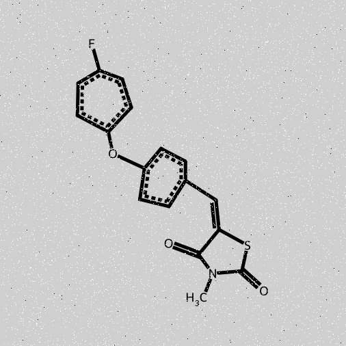 CN1C(=O)SC(=Cc2ccc(Oc3ccc(F)cc3)cc2)C1=O